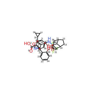 O=C(O)c1ccc(NC(=O)C2C3CCC2CC(OCc2c(-c4ccccc4OC(F)(F)F)noc2C2CC2)C3)cc1